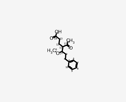 COC(CCc1ccccc1)C(CCC(=O)O)C(C)=O